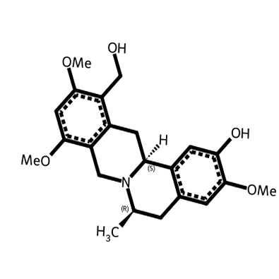 COc1cc2c(cc1O)[C@@H]1Cc3c(CO)c(OC)cc(OC)c3CN1[C@H](C)C2